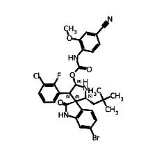 COc1cc(C#N)ccc1NC(=O)O[C@H]1N[C@@H](CC(C)(C)C)[C@@]2(C(=O)Nc3cc(Br)ccc32)[C@H]1c1cccc(Cl)c1F